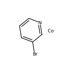 Brc1cccnc1.[Co]